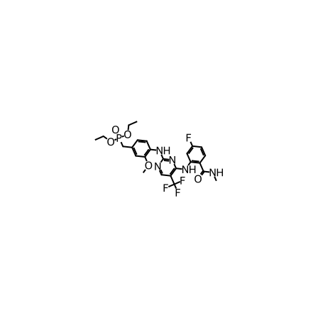 CCOP(=O)(Cc1ccc(Nc2ncc(C(F)(F)F)c(Nc3cc(F)ccc3C(=O)NC)n2)c(OC)c1)OCC